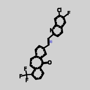 O=c1c2cc(/C=C/c3ccc4cc(F)c(Cl)cc4n3)ccc2ccc2c(C(F)(F)F)cccc12